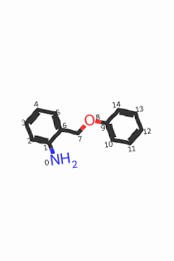 Nc1ccccc1COc1ccccc1